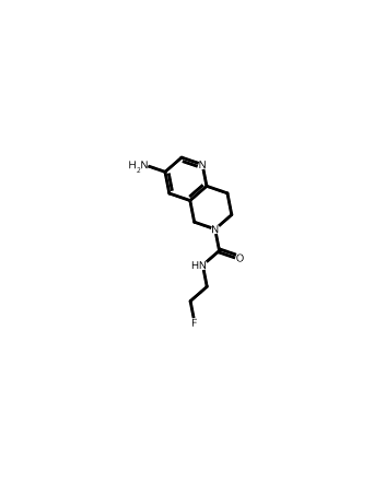 Nc1cnc2c(c1)CN(C(=O)NCCF)CC2